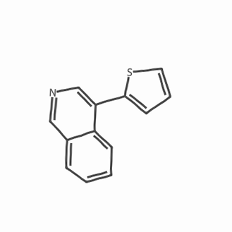 c1csc(-c2cncc3ccccc23)c1